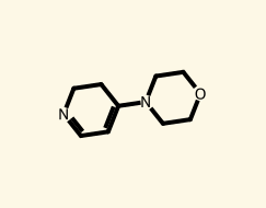 C1=NCCC(N2CCOCC2)=C1